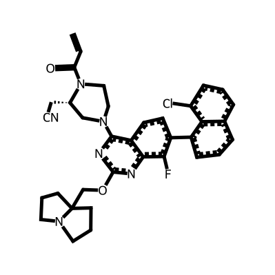 C=CC(=O)N1CCN(c2nc(OCC34CCCN3CCC4)nc3c(F)c(-c4cccc5cccc(Cl)c45)ccc23)C[C@@H]1CC#N